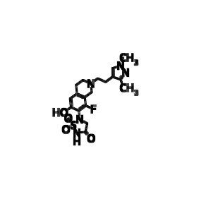 Cc1nn(C)cc1CCN1CCc2cc(O)c(N3CC(=O)NS3(=O)=O)c(F)c2C1